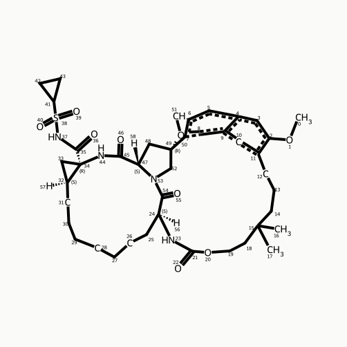 COc1cc2ccc3cc2cc1CCCC(C)(C)CCOC(=O)N[C@H]1CCCCCCC[C@H]2C[C@@]2(C(=O)NS(=O)(=O)C2CC2)NC(=O)[C@@H]2C[C@]3(OC)CN2C1=O